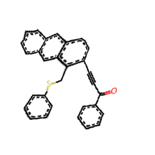 O=C(C#Cc1ccc2cc3ccccc3cc2c1CSc1ccccc1)c1ccccc1